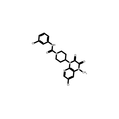 Cn1c(=O)c(=O)n(C2CCN(C(=O)Nc3cccc(Cl)c3)CC2)c2ncc(Cl)cc21